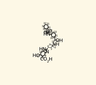 CC(C)(CCc1nc2cc(C(=O)O)c(O)cc2[nH]1)NCC(O)c1cccc(NS(=O)(=O)c2ccccc2)c1